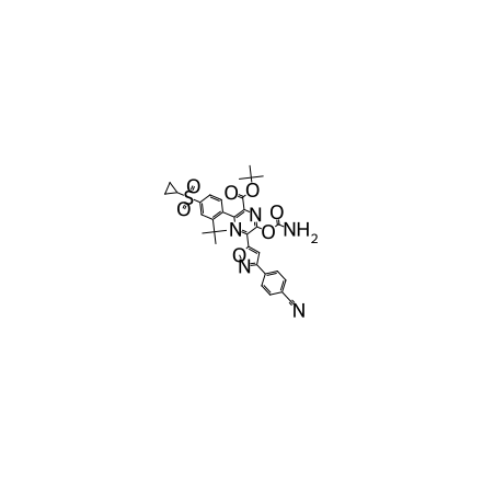 CC(C)(C)OC(=O)c1nc(OC(N)=O)c(-c2cc(-c3ccc(C#N)cc3)no2)nc1-c1ccc(S(=O)(=O)C2CC2)cc1C(C)(C)C